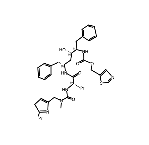 CC(C)C1=NC(CN(C)C(=O)N[C@H](C(=O)N[C@H](Cc2ccccc2)C[C@H](O)[C@@H](Cc2ccccc2)NC(=O)OCc2cncs2)C(C)C)=CC1